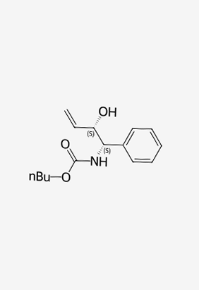 C=C[C@H](O)[C@@H](NC(=O)OCCCC)c1ccccc1